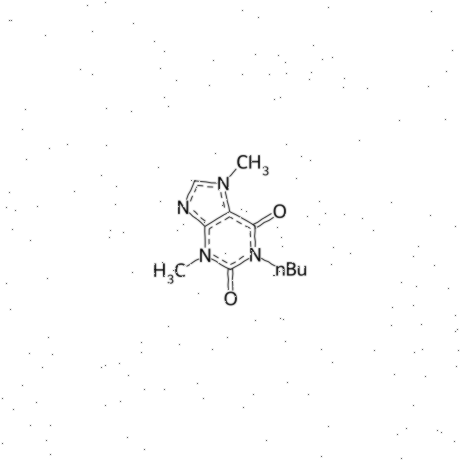 CCCCn1c(=O)c2c(ncn2C)n(C)c1=O